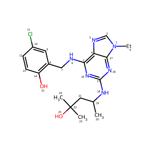 CCn1cnc2c(NCc3cc(Cl)ccc3O)nc(NC(C)CC(C)(C)O)nc21